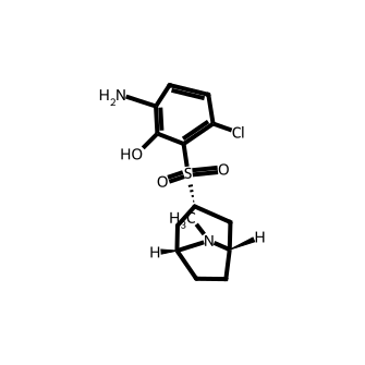 CN1[C@@H]2CC[C@H]1C[C@@H](S(=O)(=O)c1c(Cl)ccc(N)c1O)C2